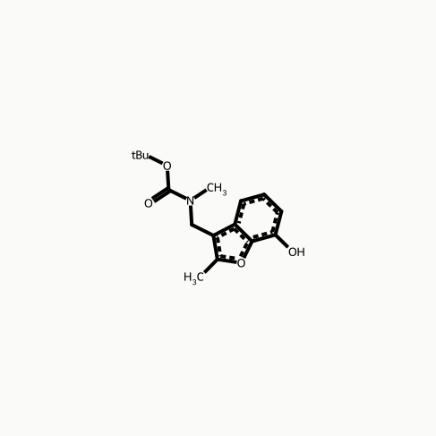 Cc1oc2c(O)cccc2c1CN(C)C(=O)OC(C)(C)C